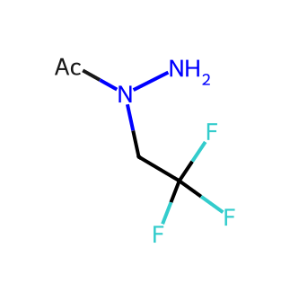 CC(=O)N(N)CC(F)(F)F